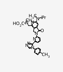 Cc1ccc(-n2cnnc2-c2cccc(N3Cc4c(cc(N(C)C(C)C)nc4CN(C)C(=O)O)C3=O)n2)cc1